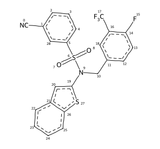 N#Cc1cccc(S(=O)(=O)N(Cc2ccc(F)c(C(F)(F)F)c2)c2cc3ccccc3s2)c1